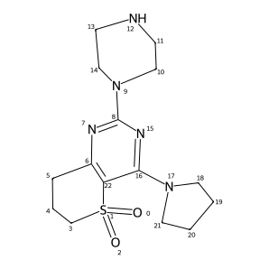 O=S1(=O)CCCc2nc(N3CCNCC3)nc(N3CCCC3)c21